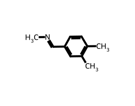 C/N=C/c1ccc(C)c(C)c1